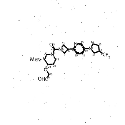 CN[C@@H]1CN(C(=O)N2CC(c3ccc(N4CCC(C(F)(F)F)C4)cn3)C2)CC[C@@H]1OCC=O